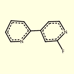 Fc1cc(-c2ccccn2)ccn1